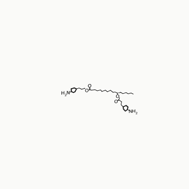 CCCCCC[C@H](CCCCCCCCCCC(=O)OCCCc1ccc(N)cc1)OCC(=O)CCc1ccc(N)cc1